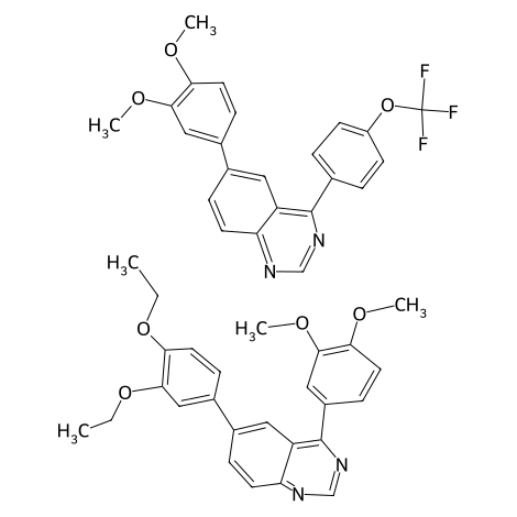 CCOc1ccc(-c2ccc3ncnc(-c4ccc(OC)c(OC)c4)c3c2)cc1OCC.COc1ccc(-c2ccc3ncnc(-c4ccc(OC(F)(F)F)cc4)c3c2)cc1OC